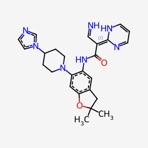 CC1(C)Cc2cc(NC(=O)/C(C=N)=C3\N=CC=CN3)c(N3CCC(n4ccnc4)CC3)cc2O1